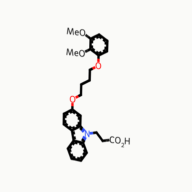 COc1cccc(OCCCCOc2ccc3c4ccccc4n(CCC(=O)O)c3c2)c1OC